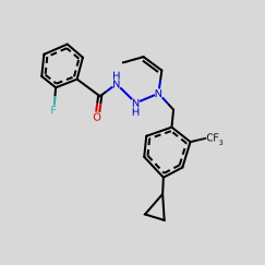 C/C=C\N(Cc1ccc(C2CC2)cc1C(F)(F)F)NNC(=O)c1ccccc1F